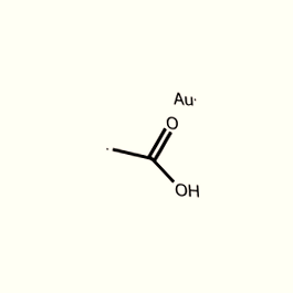 [Au].[CH2]C(=O)O